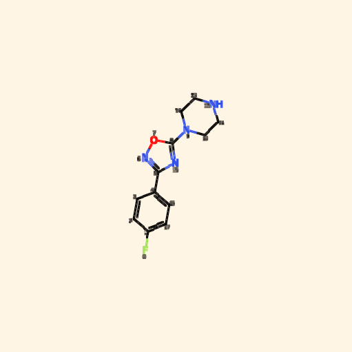 Fc1ccc(-c2noc(N3CCNCC3)n2)cc1